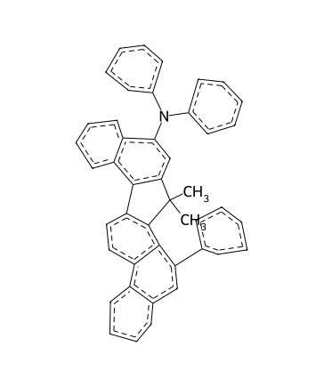 CC1(C)c2cc(N(c3ccccc3)c3ccccc3)c3ccccc3c2-c2ccc3c(c(-c4ccccc4)cc4ccccc43)c21